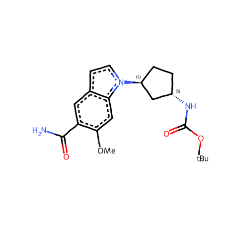 COc1cc2c(ccn2[C@H]2CC[C@H](NC(=O)OC(C)(C)C)C2)cc1C(N)=O